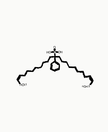 CCCCCCCC/C=C\CCCCCCCCC(CCCCCCCC/C=C\CCCCCCCC)(c1ccccc1)P(=O)(O)O